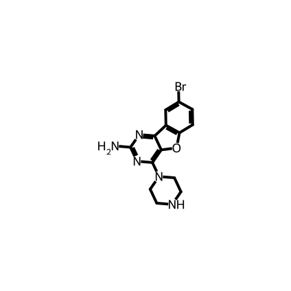 Nc1nc(N2CCNCC2)c2oc3ccc(Br)cc3c2n1